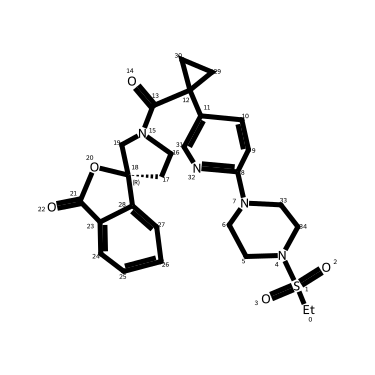 CCS(=O)(=O)N1CCN(c2ccc(C3(C(=O)N4CC[C@@]5(C4)OC(=O)c4ccccc45)CC3)cn2)CC1